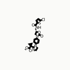 COC(=O)C1(C2=NCCN2c2ccc(N3C[C@H](CNC(=O)c4ccc(Cl)s4)OC3=O)cc2)CC1